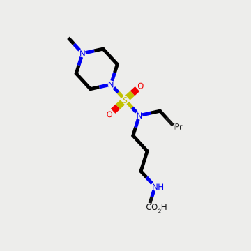 CC(C)CN(CCCNC(=O)O)S(=O)(=O)N1CCN(C)CC1